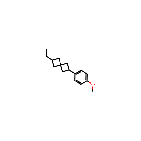 CCC1CC2(C1)CC(c1ccc(OC)cc1)C2